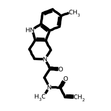 C=CC(=O)N(C)CC(=O)N1CCc2[nH]c3ccc(C)cc3c2C1